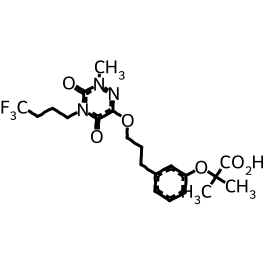 Cn1nc(OCCCc2cccc(OC(C)(C)C(=O)O)c2)c(=O)n(CCCC(F)(F)F)c1=O